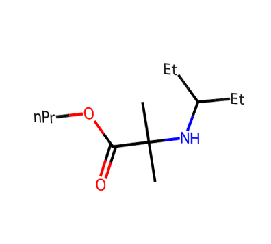 CCCOC(=O)C(C)(C)NC(CC)CC